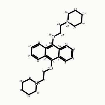 c1ccc2c(OCCN3CCCCC3)c3ccccc3c(OCCN3CCCCC3)c2c1